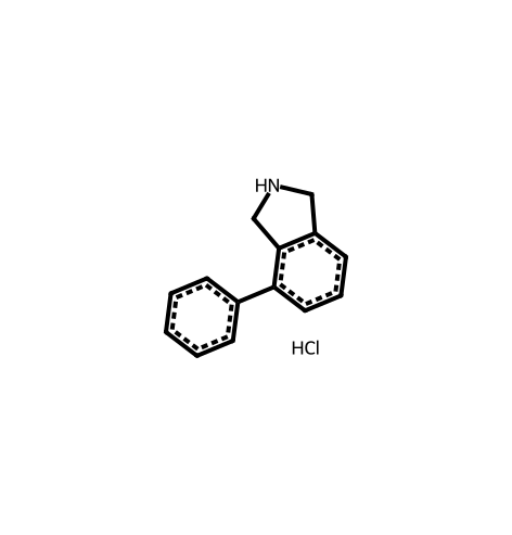 Cl.c1ccc(-c2cccc3c2CNC3)cc1